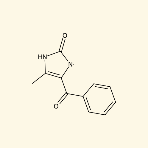 CC1=C(C(=O)c2ccccc2)[N]C(=O)N1